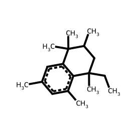 CCC1(C)CC(C)C(C)(C)c2cc(C)cc(C)c21